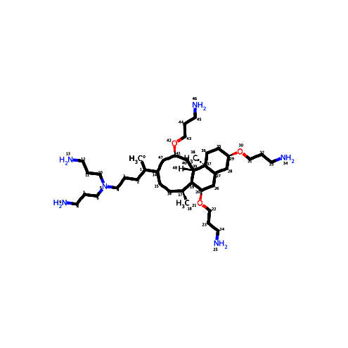 CC(CCCN(CCCN)CCCN)C1CC[C@H](C)C2[C@H](OCCCN)CC3C[C@H](OCCCN)CC[C@]3(C)[C@H]2C[C@H](OCCCN)C1